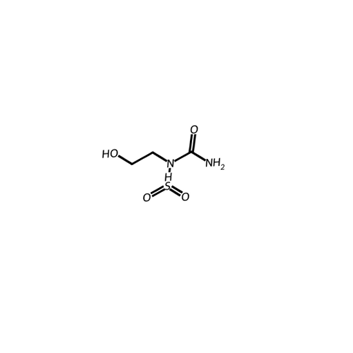 NC(=O)N(CCO)[SH](=O)=O